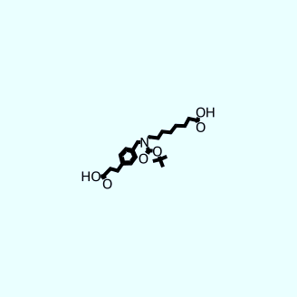 CC(C)(C)OC(=O)N(CCCCCCCC(=O)O)Cc1ccc(CCC(=O)O)cc1